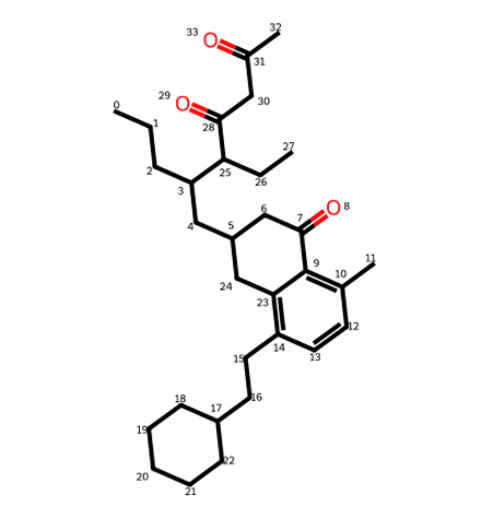 CCCC(CC1CC(=O)c2c(C)ccc(CCC3CCCCC3)c2C1)C(CC)C(=O)CC(C)=O